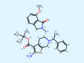 COc1cccc2c1C(=O)N(C[C@H]1Cc3c(sc(N)c3C(=O)OC(C)(C)C)CN1[C@@H](C)c1ccccc1)C2